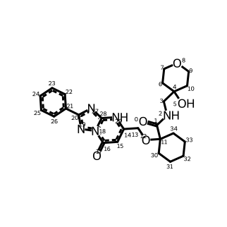 O=C(NCC1(O)CCOCC1)C1(OCc2cc(=O)n3nc(-c4ccccc4)nc3[nH]2)CCCCC1